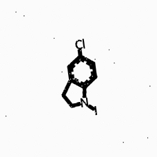 Clc1ccc2c(c1)CCN2I